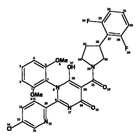 COc1cccc(OC)c1-n1c(-c2ccc(Cl)cn2)nc(=O)c(C(=O)N2CCC(c3c(F)cccc3F)C2)c1O